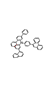 c1ccc(-c2ccc(-c3ccccc3)c(N(c3ccc(-c4cc5ccccc5c5ccccc45)cc3)c3cccc(-c4cccc5ccccc45)c3)c2)cc1